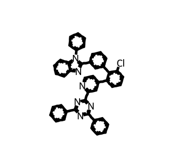 Clc1cccc(-c2ccnc(-c3nc(-c4ccccc4)nc(-c4ccccc4)n3)c2)c1-c1cccc(-c2nc3ccccc3n2-c2ccccc2)c1